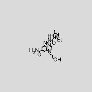 CCn1nc(C)cc1C(=O)Nc1nc2cc(C(N)=O)cc3c2n1CCN3CCCO